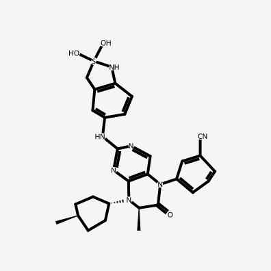 C[C@@H]1C(=O)N(c2cccc(C#N)c2)c2cnc(Nc3ccc4c(c3)CS(O)(O)N4)nc2N1[C@H]1CC[C@H](C)CC1